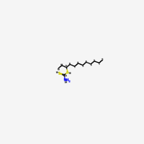 CCCCCCCCCC(CC)SC(N)=S